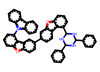 c1ccc(C2NC(c3ccccc3)NC(c3cccc4oc5cc(-c6ccc7oc8cccc(-n9c%10ccccc%10c%10ccccc%109)c8c7c6)ccc5c34)N2)cc1